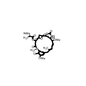 CN[C@@H](C)C(=O)OC1CC(=O)N(C)c2cc(cc(OC)c2Cl)C/C(C)=C/C=C/C(OC)C2(O)CC(OC(=O)N2)C2(C)CC1(C)O2